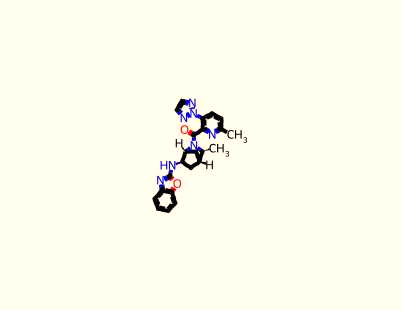 Cc1ccc(-n2nccn2)c(C(=O)N2[C@H](C)[C@@H]3C[C@@H](Nc4nc5ccccc5o4)[C@@H]2C3)n1